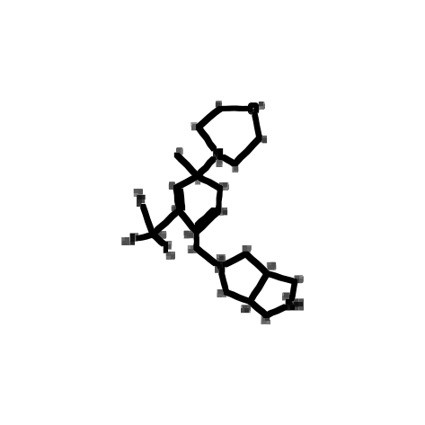 CC1(N2CCOCC2)C=C(C(F)(F)F)C(CN2CC3CNCC3C2)=CC1